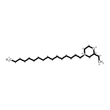 CCCCCCCCCCCCCCCCN1CCOC(CC)C1